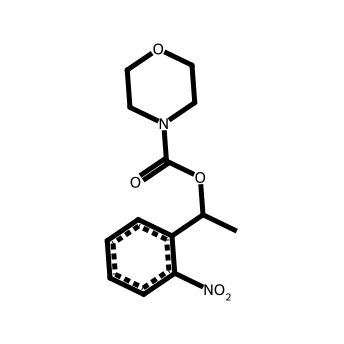 CC(OC(=O)N1CCOCC1)c1ccccc1[N+](=O)[O-]